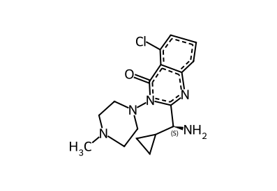 CN1CCN(n2c([C@@H](N)C3CC3)nc3cccc(Cl)c3c2=O)CC1